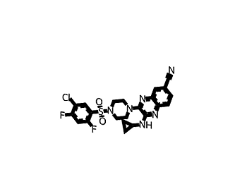 N#Cc1ccc2nc(NC3CC3)c(N3CCN(S(=O)(=O)c4cc(Cl)c(F)cc4F)CC3)nc2c1